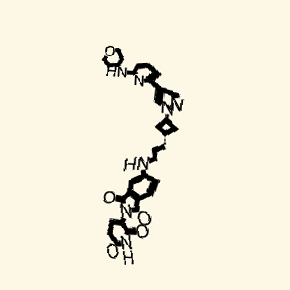 O=C1CCC(N2C(=O)c3ccc(NCCC[C@H]4C[C@H](n5cc(-c6cccc(NC7CCOCC7)n6)cn5)C4)cc3C2=O)C(=O)N1